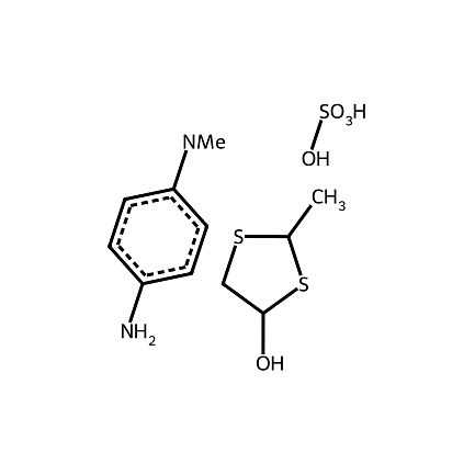 CC1SCC(O)S1.CNc1ccc(N)cc1.O=S(=O)(O)O